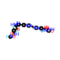 O=C1CC[C@H](NC(=O)c2ccc(N3CCN(CCN4CCN(c5ccc(-c6cnc7[nH]cc(C(=O)c8c(F)ccc(NS(=O)(=O)N9CC[C@@H](F)C9)c8F)c7c6)cc5)CC4)CC3)cc2F)C(=O)N1